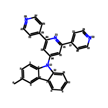 Cc1ccc2c(c1)c1ccccc1n2-c1cc(-c2ccncc2)nc(-c2ccncc2)c1